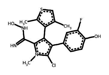 Cc1csc(C)c1-c1c(-c2ccc(O)c(F)c2)c(Cl)n(C)c1C(=N)NO